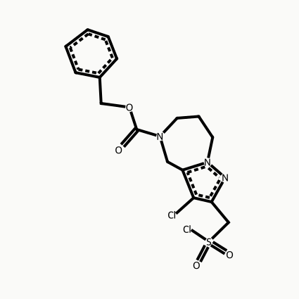 O=C(OCc1ccccc1)N1CCCn2nc(CS(=O)(=O)Cl)c(Cl)c2C1